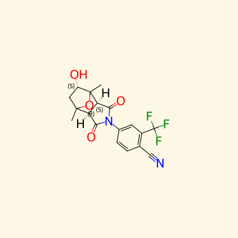 CC12C[C@H](O)C(C)(O1)[C@H]1C(=O)N(c3ccc(C#N)c(C(F)(F)F)c3)C(=O)[C@H]12